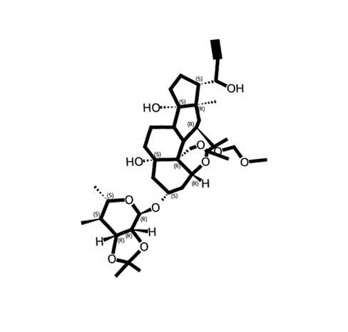 C#CC(O)[C@H]1CC[C@]2(O)C3CC[C@]4(O)C[C@@H](O[C@@H]5O[C@@H](C)[C@H](C)[C@H]6OC(C)(C)O[C@@H]56)C[C@H]5OC(C)(C)OC[C@]54C3[C@H](OCOC)C[C@]12C